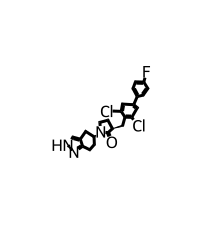 O=C1[C@H](Cc2c(Cl)cc(-c3ccc(F)cc3)cc2Cl)CCN1[C@@H]1CCc2n[nH]cc2C1